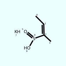 CC=C(C)S(=O)O.[KH]